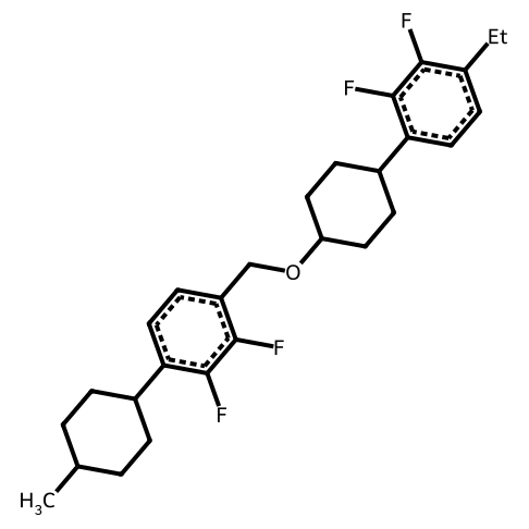 CCc1ccc(C2CCC(OCc3ccc(C4CCC(C)CC4)c(F)c3F)CC2)c(F)c1F